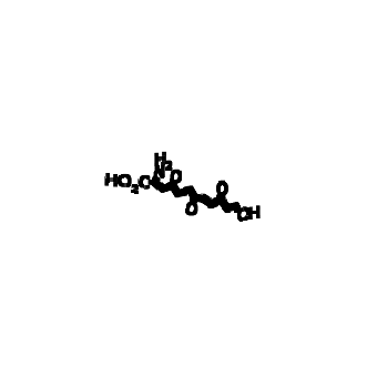 N[C@@H](CC(=O)CCC(=O)CCC(=O)CCO)C(=O)O